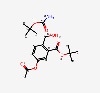 CC(=O)Oc1ccc(CO)c(C(=O)OC(C)(C)C)c1.CC(C)(C)OC(N)=O